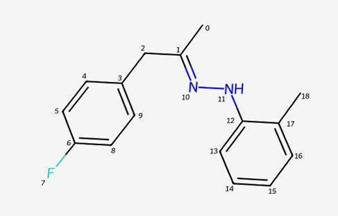 CC(Cc1ccc(F)cc1)=NNc1ccccc1C